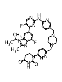 Cc1nc2c(F)cc(-c3nc(Nc4ccc(CN5CCN(Cc6ccc(N7CCC(=O)NC7=O)nn6)CC5)cn4)ncc3F)cc2n1C(C)C